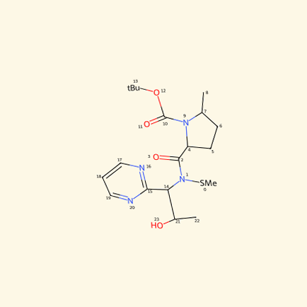 CSN(C(=O)C1CCC(C)N1C(=O)OC(C)(C)C)C(c1ncccn1)C(C)O